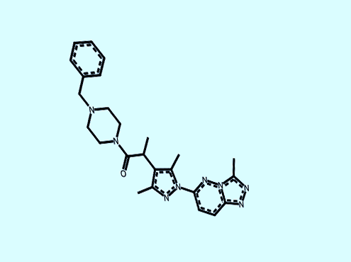 Cc1nn(-c2ccc3nnc(C)n3n2)c(C)c1C(C)C(=O)N1CCN(Cc2ccccc2)CC1